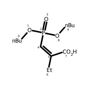 CCCCOP(=O)(C=C(CC)C(=O)O)OCCCC